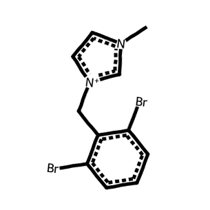 Cn1cc[n+](Cc2c(Br)cccc2Br)c1